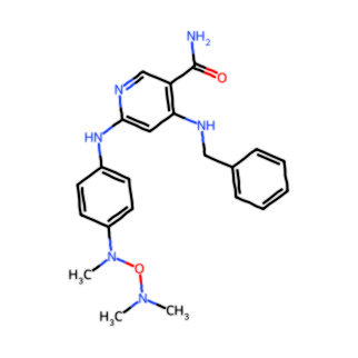 CN(C)ON(C)c1ccc(Nc2cc(NCc3ccccc3)c(C(N)=O)cn2)cc1